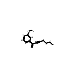 C=C(C#CCCCC)c1cccc(OC)c1